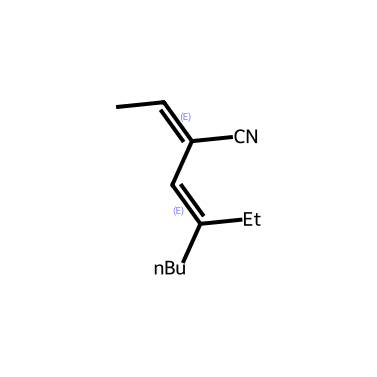 C/C=C(C#N)\C=C(/CC)CCCC